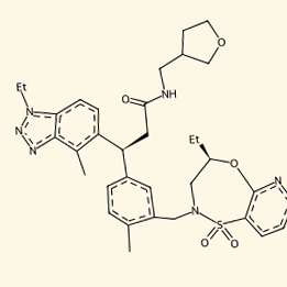 CC[C@@H]1CN(Cc2cc([C@H](CC(=O)NCC3CCOC3)c3ccc4c(nnn4CC)c3C)ccc2C)S(=O)(=O)c2cccnc2O1